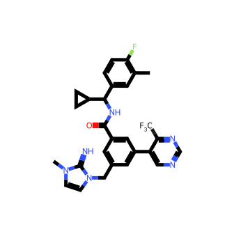 Cc1cc(C(NC(=O)c2cc(Cn3ccn(C)c3=N)cc(-c3cncnc3C(F)(F)F)c2)C2CC2)ccc1F